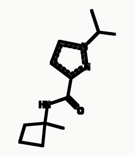 CC(C)n1ccc(C(=O)NC2(C)CCC2)n1